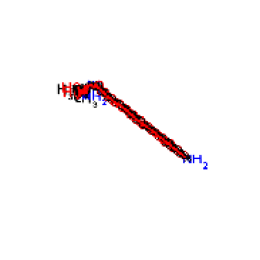 CCCCc1nc2c(N)nc3cc(CCCN4CCN(C(=O)CCOCCOCCOCCOCCOCCOCCOCCOCCOCCOCCOCCOCCOCCOCCOCCOCCOCCOCCOCCOCCOCCOCCOCCOCCN)CC4)ccc3c2n1CC(C)(CO)CO